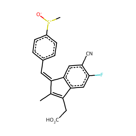 CC1=C(CC(=O)O)c2cc(F)c(C#N)cc2C1=Cc1ccc([S+](C)[O-])cc1